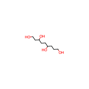 O[CH]CCC(O)CCC(O)CCO